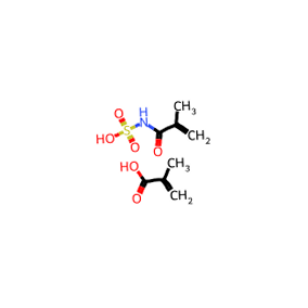 C=C(C)C(=O)NS(=O)(=O)O.C=C(C)C(=O)O